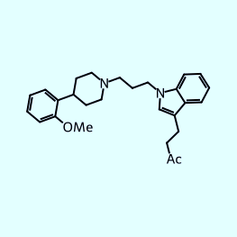 COc1ccccc1C1CCN(CCCn2cc(CCC(C)=O)c3ccccc32)CC1